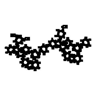 N#Cc1ccc(-n2c3ccc(-c4ccc(-c5nc(-c6ccccc6)nc(-c6cccc7oc8ccc(-c9ccc%10c(c9)c9ccccc9n%10-c9cc(C#N)cc(C#N)c9)cc8c67)n5)cc4)cc3c3cc(-c4ccc5oc6cccc(-c7nc(-c8ccccc8)nc(-c8ccccc8)n7)c6c5c4)ccc32)cc1